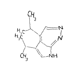 CC(C)c1cnnc2[nH]cc(C(C)C)c12